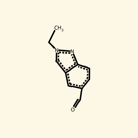 CCn1cc2cc(C=O)ccc2n1